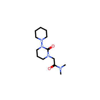 CN(C)C(=O)CN1CCCN(N2CCCCC2)C1=O